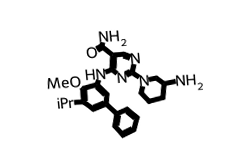 COc1c(Nc2nc(N3CCCC(N)C3)ncc2C(N)=O)cc(-c2ccccc2)cc1C(C)C